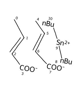 C/C=C/C(=O)[O-].C/C=C/C(=O)[O-].CCC[CH2][Sn+2][CH2]CCC